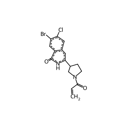 C=CC(=O)N1CCC(c2cc3cc(Cl)c(Br)cc3c(=O)[nH]2)C1